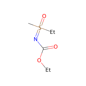 CCOC(=O)N=S(C)(=O)CC